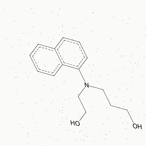 OCCCN(CCO)c1cccc2ccccc12